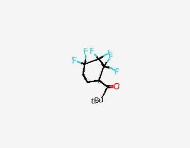 CC(C)(C)C(=O)[C]1CCC(F)(F)C(F)(F)C1(F)F